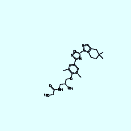 Cc1cc(-c2noc(-c3scc4c3CCC(C)(C)C4)n2)cc(C)c1OCC(O)CNC(=O)CO